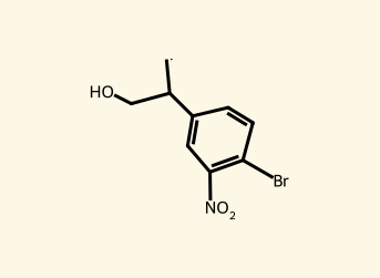 [CH2]C(CO)c1ccc(Br)c([N+](=O)[O-])c1